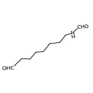 O=CCCCCCCCNC=O